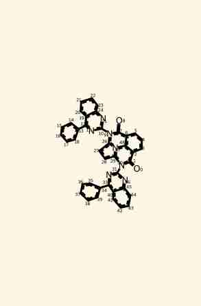 O=c1c2cccc3c(=O)n(-c4nc(-c5ccccc5)c5ccccc5n4)c4ccc(n1-c1nc(-c5ccccc5)c5ccccc5n1)n4c23